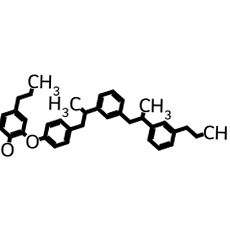 CCCc1cccc(C(C)Cc2cccc(C(C)Cc3ccc(Oc4cc(CCC)ccc4O)cc3)c2)c1